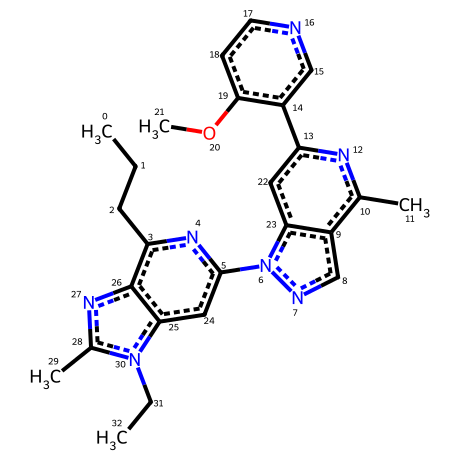 CCCc1nc(-n2ncc3c(C)nc(-c4cnccc4OC)cc32)cc2c1nc(C)n2CC